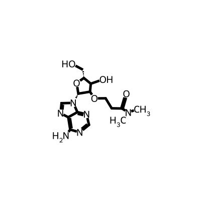 CN(C)C(=O)CCOC1C(O)[C@@H](CO)O[C@H]1n1cnc2c(N)ncnc21